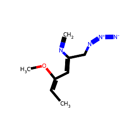 C=N/C(=C\C(=C/C)OC)CN=[N+]=[N-]